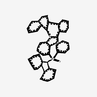 O=P(c1ccccc1)(c1cccc2c1nc1c3ccccc3c3ccc4ccccc4c3n21)C1c2ccccc2-c2ccccc21